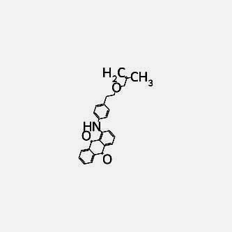 C=C(C)COCCc1ccc(Nc2cccc3c2C(=O)c2ccccc2C3=O)cc1